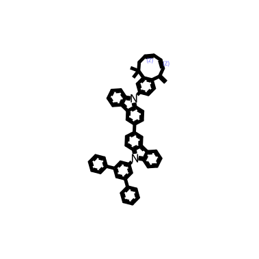 C=C1/C=C\C=C/CC(C)(C)c2cc(-n3c4ccccc4c4cc(-c5ccc6c(c5)c5ccccc5n6-c5cc(-c6ccccc6)cc(-c6ccccc6)c5)ccc43)ccc21